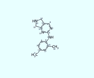 Cc1ccc(Nc2ncc3c(n2)CNC3)c(C)c1